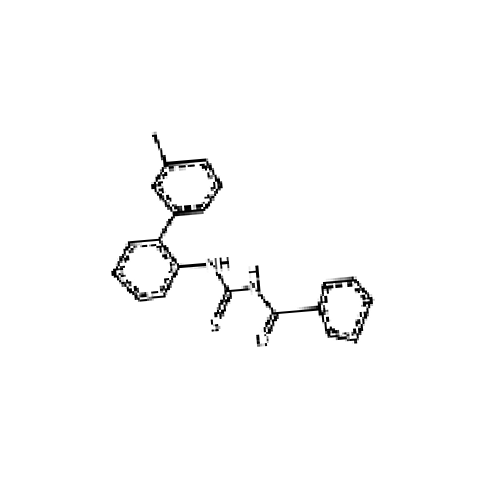 Cc1cccc(-c2ccccc2NC(=S)NC(=O)c2ccccc2)c1